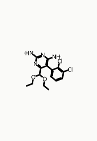 CCOC(OCC)c1nc([NH])nc([NH])c1-c1cccc(Cl)c1Cl